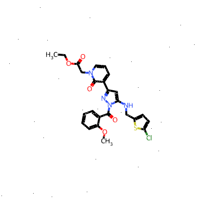 CCOC(=O)Cn1cccc(-c2cc(NCc3ccc(Cl)s3)n(C(=O)c3ccccc3OC)n2)c1=O